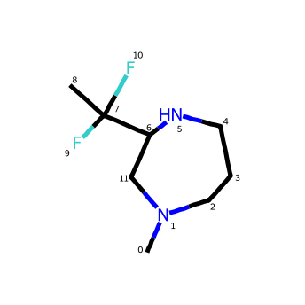 CN1CCCNC(C(C)(F)F)C1